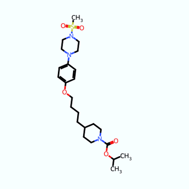 CC(C)OC(=O)N1CCC(CCCCOc2ccc(N3CCN(S(C)(=O)=O)CC3)cc2)CC1